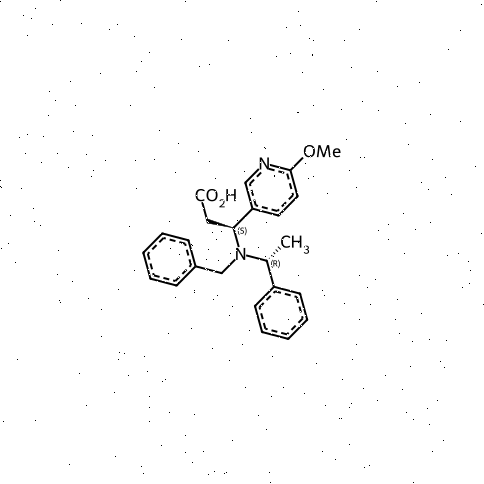 COc1ccc([C@H](CC(=O)O)N(Cc2ccccc2)[C@H](C)c2ccccc2)cn1